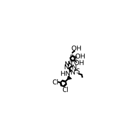 CCCSc1nc(NC2CC2c2cc(Cl)cc(Cl)c2)c2nnn([C@@H]3C[C@H](CCO)[C@@H](O)[C@H]3O)c2n1